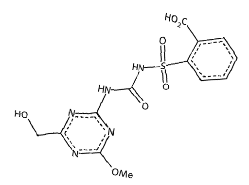 COc1nc(CO)nc(NC(=O)NS(=O)(=O)c2ccccc2C(=O)O)n1